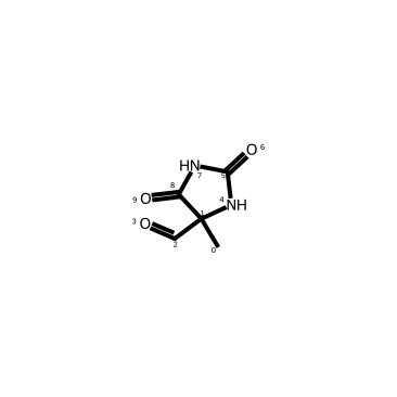 CC1(C=O)NC(=O)NC1=O